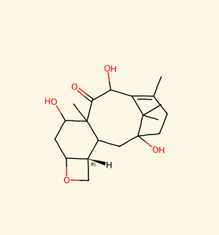 CC1=C2C(O)C(=O)C3(C)C(O)CC4OC[C@H]4C3CC(O)(CC1)C2(C)C